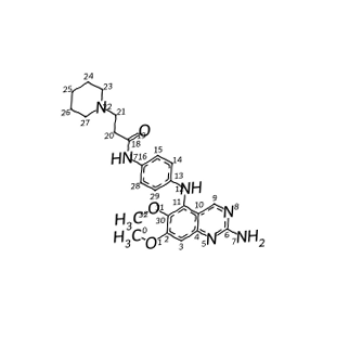 COc1cc2nc(N)ncc2c(Nc2ccc(NC(=O)CCN3CCCCC3)cc2)c1OC